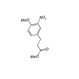 COC(=O)CCc1ccc(OC)c([N+](=O)[O-])c1